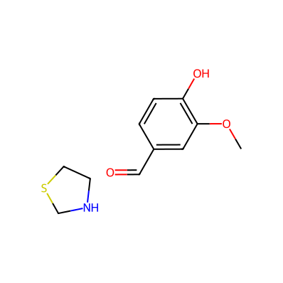 C1CSCN1.COc1cc(C=O)ccc1O